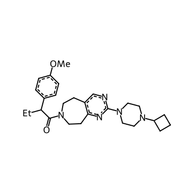 CCC(C(=O)N1CCc2cnc(N3CCN(C4CCC4)CC3)nc2CC1)c1ccc(OC)cc1